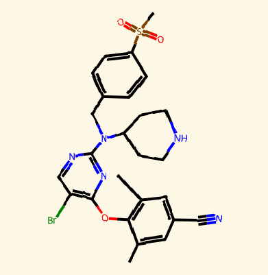 Cc1cc(C#N)cc(C)c1Oc1nc(N(Cc2ccc(S(C)(=O)=O)cc2)C2CCNCC2)ncc1Br